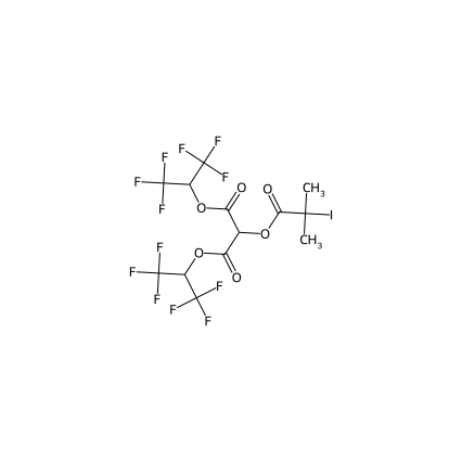 CC(C)(I)C(=O)OC(C(=O)OC(C(F)(F)F)C(F)(F)F)C(=O)OC(C(F)(F)F)C(F)(F)F